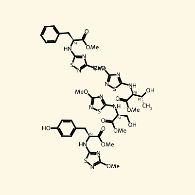 COC(=O)[C@@H](Nc1nc(OC)ns1)[C@@H](C)O.COC(=O)[C@H](CO)Nc1nc(OC)ns1.COC(=O)[C@H](Cc1ccc(O)cc1)Nc1nc(OC)ns1.COC(=O)[C@H](Cc1ccccc1)Nc1nc(OC)ns1